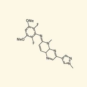 COc1cc(OC)c(F)c(/N=C2\C=CC3N=CC(c4cnn(C)c4)=NC3N2C)c1F